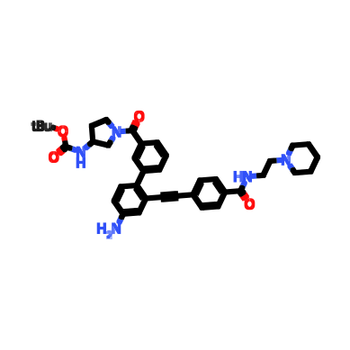 CC(C)(C)OC(=O)NC1CCN(C(=O)c2cccc(-c3ccc(N)cc3C#Cc3ccc(C(=O)NCCN4CCCCC4)cc3)c2)C1